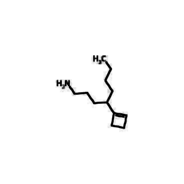 CCCCC(CCCN)C1=CCC1